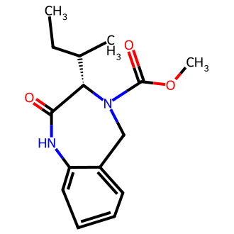 CCC(C)[C@H]1C(=O)Nc2ccccc2CN1C(=O)OC